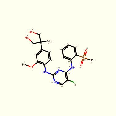 CC(C)Oc1cc(C(C)(CO)CO)ccc1Nc1ncc(Cl)c(Nc2ccccc2S(=O)(=O)C(C)C)n1